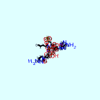 C=CCCC(=O)N[C@@H](CCS(C)(=O)=O)C(=O)O[C@@H]1[C@@H](COP(=O)(O)O[C@H]2C[C@H](n3ccc(N)nc3=O)O[C@@H]2COP(=O)(O)O)OC(n2cnc3c(N)ncnc32)[C@@H]1O